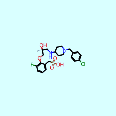 C[C@](O)(CNC1CCN(Cc2ccc(Cl)cc2)CC1)COc1c(F)cccc1CS(=O)(=O)O